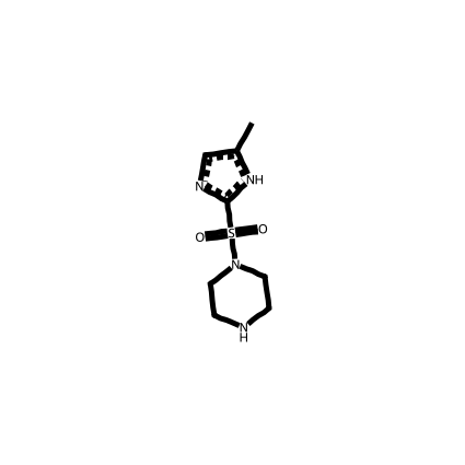 Cc1cnc(S(=O)(=O)N2CCNCC2)[nH]1